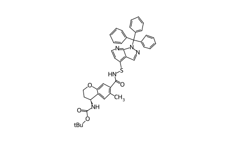 Cc1cc2c(cc1C(=O)NSc1ccnc3c1cnn3C(c1ccccc1)(c1ccccc1)c1ccccc1)OCC[C@@H]2NC(=O)OC(C)(C)C